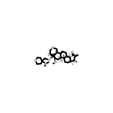 CO[C@@H]1C[C@@]23COC[C@@](C)([C@@H]2CC[C@H]2C3=CC[C@@]3(C)[C@H](C(=O)O)[C@@](C)([C@H](C)C(C)C)CC[C@]23C)[C@H]1OCC1(N(C)C)CCOCC1